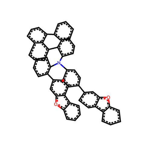 c1ccc(-c2cccc3cccc(-c4ccccc4N(c4ccc(-c5ccc6c(c5)oc5ccccc56)cc4)c4ccccc4-c4ccc5c(c4)oc4ccccc45)c23)cc1